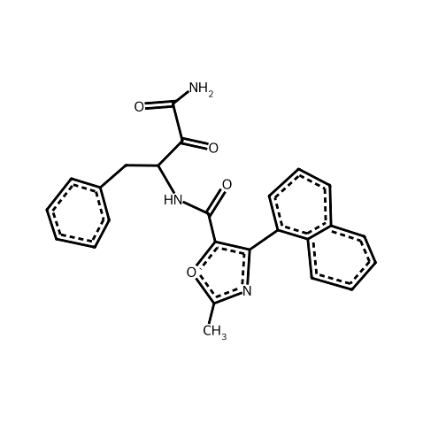 Cc1nc(-c2cccc3ccccc23)c(C(=O)NC(Cc2ccccc2)C(=O)C(N)=O)o1